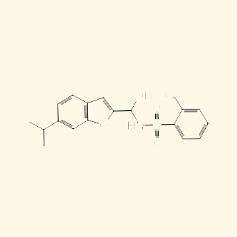 CC(C)c1ccc2cc(C(O)NS(=O)(=O)c3ccccc3Cl)oc2c1